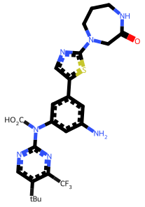 CC(C)(C)c1cnc(N(C(=O)O)c2cc(N)cc(-c3cnc(N4CCCNC(=O)C4)s3)c2)nc1C(F)(F)F